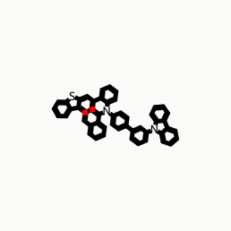 c1cc(-c2ccc(N(c3ccccc3-c3ccc4c(c3)sc3ccccc34)c3cccc4ccccc34)cc2)cc(-n2c3ccccc3c3ccccc32)c1